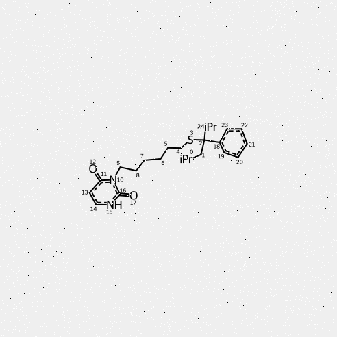 CC(C)CC(SCCCCCCn1c(=O)cc[nH]c1=O)(c1ccccc1)C(C)C